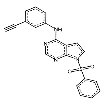 C#Cc1cccc(Nc2ncnc3c2ccn3S(=O)(=O)c2ccccc2)c1